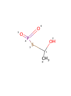 CC(O)SP(=O)=O